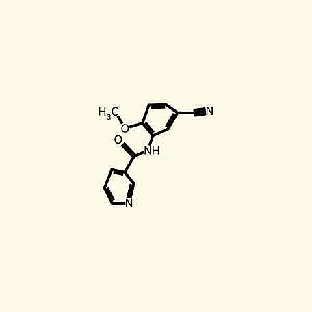 COc1ccc(C#N)cc1NC(=O)c1cccnc1